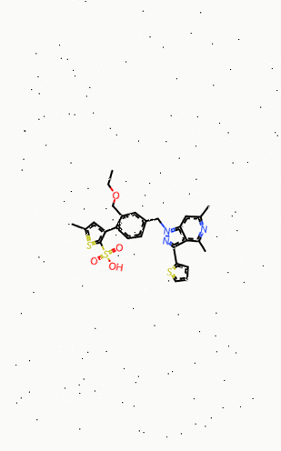 CCOCc1cc(Cn2nc(-c3cccs3)c3c(C)nc(C)cc32)ccc1-c1cc(C)sc1S(=O)(=O)O